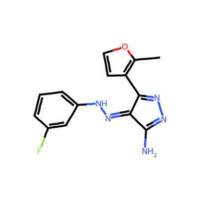 Cc1occc1C1=NN=C(N)/C1=N/Nc1cccc(F)c1